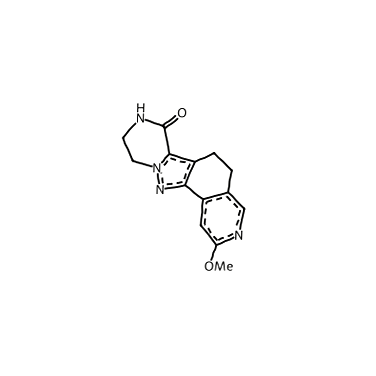 COc1cc2c(cn1)CCc1c-2nn2c1C(=O)NCC2